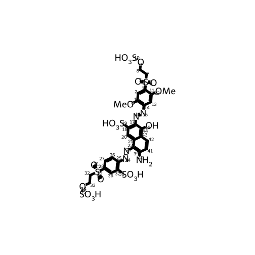 COc1cc(S(=O)(=O)CCOS(=O)(=O)O)c(OC)cc1N=Nc1c(S(=O)(=O)O)cc2c(N=Nc3ccc(S(=O)(=O)CCOS(=O)(=O)O)cc3S(=O)(=O)O)c(N)ccc2c1O